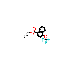 CCOC(=O)c1ccc(OC(F)(F)F)c2ccccc12